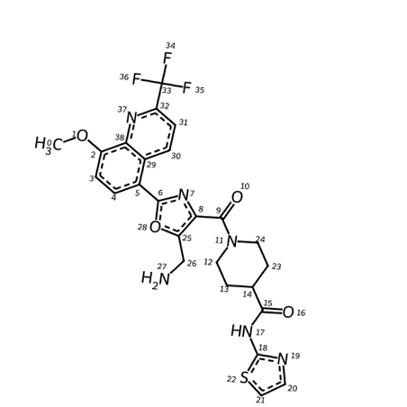 COc1ccc(-c2nc(C(=O)N3CCC(C(=O)Nc4nccs4)CC3)c(CN)o2)c2ccc(C(F)(F)F)nc12